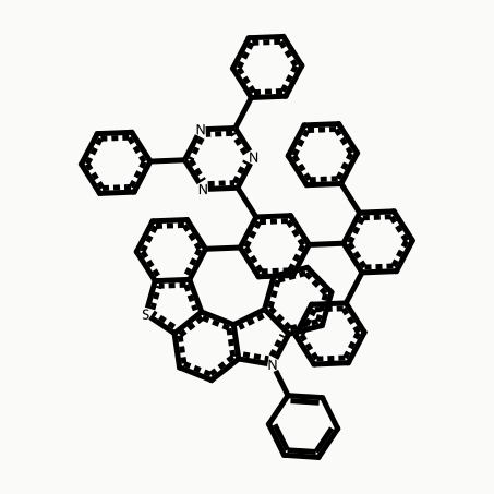 C1=C=CC(n2c3ccccc3c3c4c(ccc32)sc2cccc(-c3ccc(-c5c(-c6ccccc6)cccc5-c5ccccc5)cc3-c3nc(-c5ccccc5)nc(-c5ccccc5)n3)c24)=CC=1